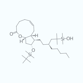 CCCCC[C@@H](CC[C@@H]1[C@H]2C/C=C\CCCC(=O)O[C@H]2C[C@H]1O[Si](C)(C)C(C)(C)C)CC(C)(C)[Si](C)(C)O